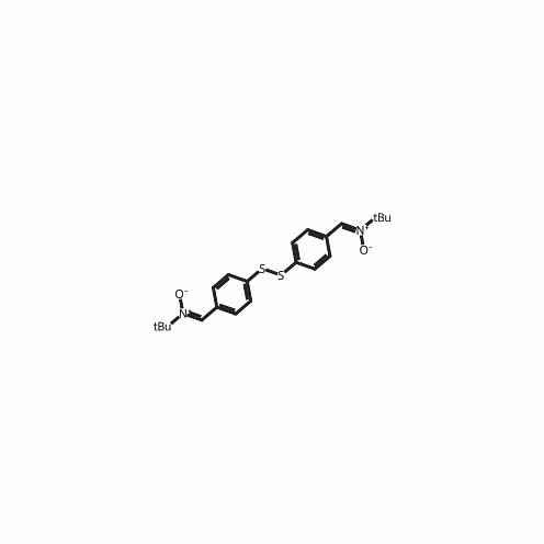 CC(C)(C)[N+]([O-])=Cc1ccc(SSc2ccc(C=[N+]([O-])C(C)(C)C)cc2)cc1